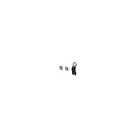 [C]=O.[Ni].[Ni]